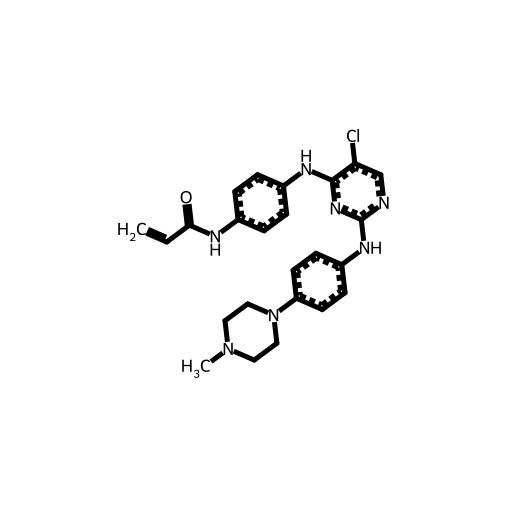 C=CC(=O)Nc1ccc(Nc2nc(Nc3ccc(N4CCN(C)CC4)cc3)ncc2Cl)cc1